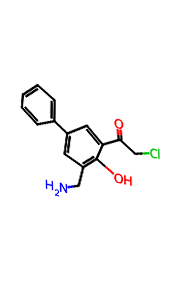 NCc1cc(-c2ccccc2)cc(C(=O)CCl)c1O